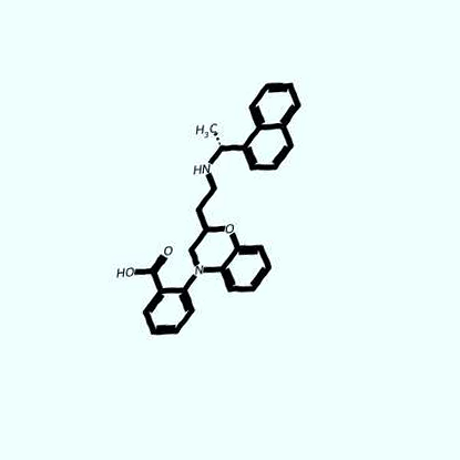 C[C@@H](NCCC1CN(c2ccccc2C(=O)O)c2ccccc2O1)c1cccc2ccccc12